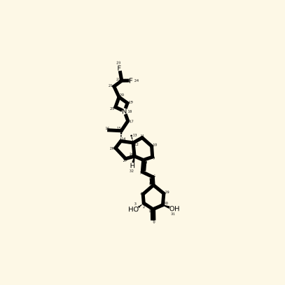 C=C1[C@H](O)CC(=C/C=C2\CCC[C@]3(C)[C@@H](C(C)CN4CC(CC(F)F)C4)CC[C@@H]23)C[C@H]1O